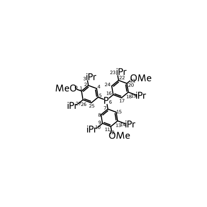 COc1c(C(C)C)cc(P(c2cc(C(C)C)c(OC)c(C(C)C)c2)c2cc(C(C)C)c(OC)c(C(C)C)c2)cc1C(C)C